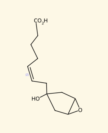 O=C(O)CCC/C=C\CC1(O)CC2OC2C1